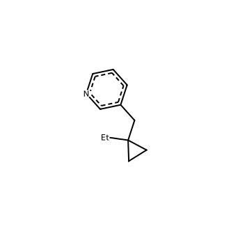 CCC1(Cc2cccnc2)CC1